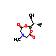 C#CC(B1OC(=O)CN(C)CC(=O)O1)C1=CC1